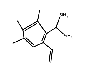 C=Cc1cc(C)c(C)c(C)c1C([SiH3])[SiH3]